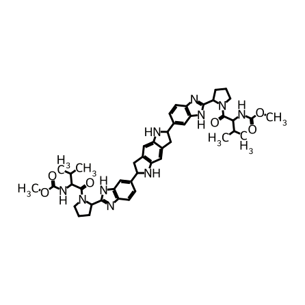 COC(=O)NC(C(=O)N1CCCC1c1nc2ccc(C3Cc4cc5c(cc4N3)CC(c3ccc4nc(C6CCCN6C(=O)C(NC(=O)OC)C(C)C)[nH]c4c3)N5)cc2[nH]1)C(C)C